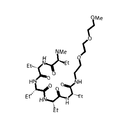 CC[C@H](NC)C(=O)N[C@@H](CC)C(=O)N[C@@H](CC)C(=O)N[C@@H](CC)C(=O)N[C@@H](CC)C(=O)NCCOCCOCCOC